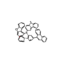 c1ccc(-c2ccc(-c3cc4ccccc4c4ccccc34)cc2N(c2ccc3sc4ccccc4c3c2)c2cccc3oc4ccccc4c23)cc1